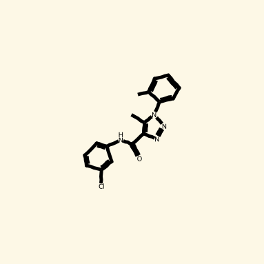 Cc1ccccc1-n1nnc(C(=O)Nc2cccc(Cl)c2)c1C